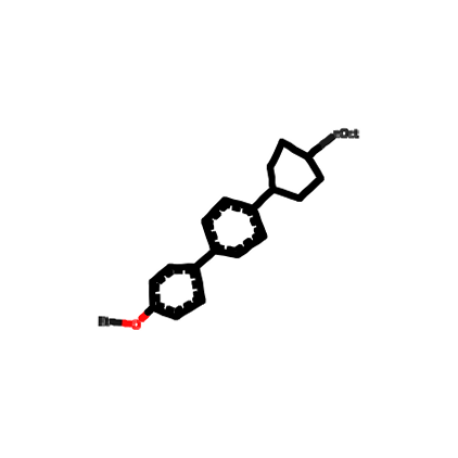 CCCCCCCCC1CCC(c2ccc(-c3ccc(OCC)cc3)cc2)CC1